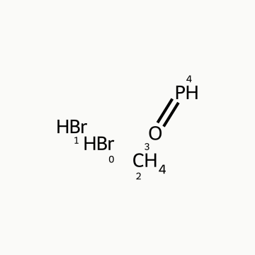 Br.Br.C.O=P